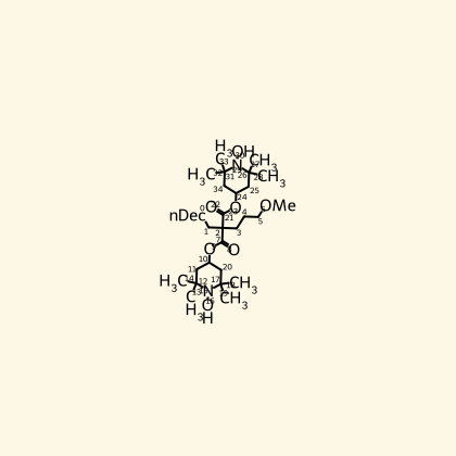 CCCCCCCCCCCC(CCCOC)(C(=O)OC1CC(C)(C)N(O)C(C)(C)C1)C(=O)OC1CC(C)(C)N(O)C(C)(C)C1